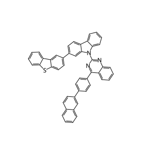 c1ccc2cc(-c3ccc(-c4nc(-n5c6ccccc6c6ccc(-c7ccc8sc9ccccc9c8c7)cc65)nc5ccccc45)cc3)ccc2c1